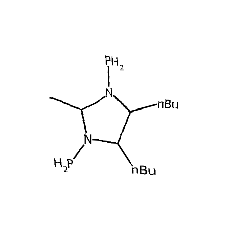 CCCCC1C(CCCC)N(P)C(C)N1P